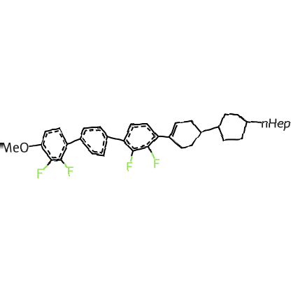 CCCCCCCC1CCC(C2CC=C(c3ccc(-c4ccc(-c5ccc(OC)c(F)c5F)cc4)c(F)c3F)CC2)CC1